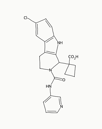 O=C(Nc1cccnc1)N1CCc2c([nH]c3ccc(Cl)cc23)C1C1(C(=O)O)CCC1